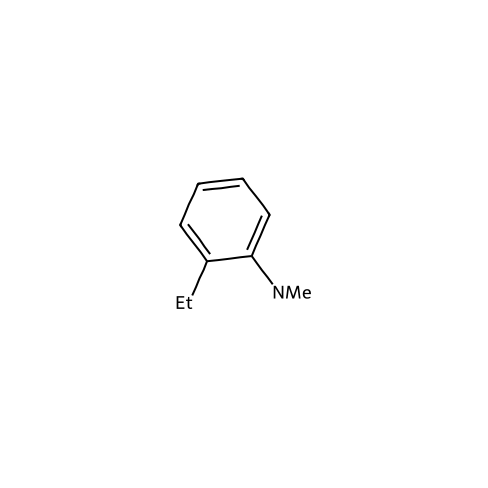 CCc1ccccc1NC